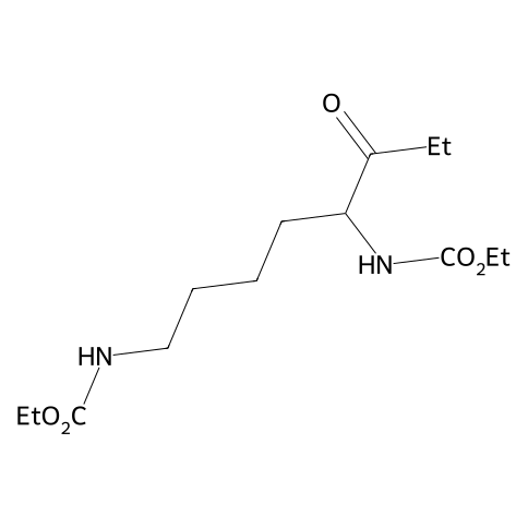 CCOC(=O)NCCCCC(NC(=O)OCC)C(=O)CC